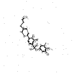 C=CCCC1CC=C(c2ccc(C(F)(F)Oc3cc(F)c(F)c(F)c3)c(F)c2F)CC1